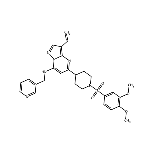 C=Cc1cnn2c(NCc3cccnc3)cc(C3CCN(S(=O)(=O)c4ccc(OC)c(OC)c4)CC3)nc12